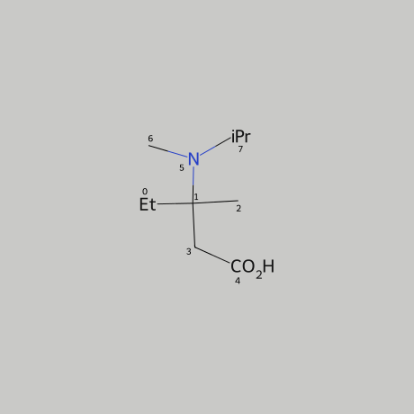 CCC(C)(CC(=O)O)N(C)C(C)C